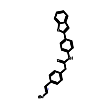 CC(C)(C)/C=C/c1ccc(CC(=O)Nc2ccc(-c3cc4ccccc4o3)cc2)cc1